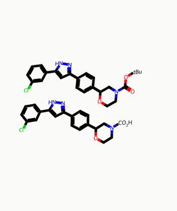 CC(C)(C)OC(=O)N1CCOC(c2ccc(-c3cc(-c4cccc(Cl)c4)[nH]n3)cc2)C1.O=C(O)N1CCOC(c2ccc(-c3cc(-c4cccc(Cl)c4)[nH]n3)cc2)C1